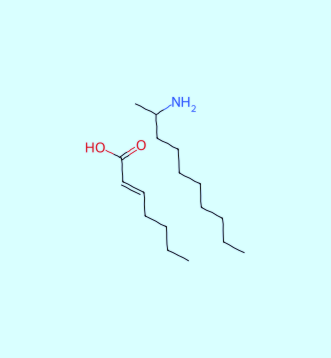 CCCCC=CC(=O)O.CCCCCCCCC(C)N